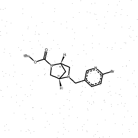 CC(C)(C)OC(=O)N1C[C@@H]2C[C@H]1CN2Cc1ccc(Br)nc1